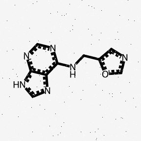 c1nc(NCc2cnco2)c2nc[nH]c2n1